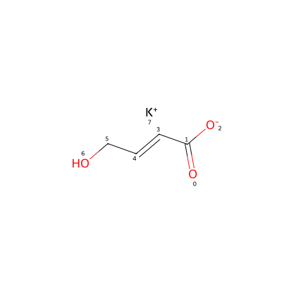 O=C([O-])C=CCO.[K+]